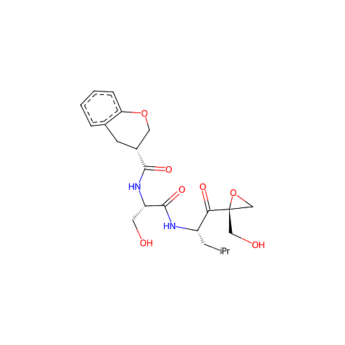 CC(C)C[C@H](NC(=O)[C@H](CO)NC(=O)[C@H]1COc2ccccc2C1)C(=O)[C@@]1(CO)CO1